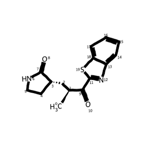 C[C@@H](C[C@@H]1CCNC1=O)C(=O)c1nc2ccccc2s1